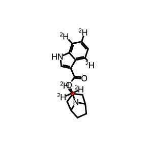 [2H]c1cc([2H])c2c(C(=O)OC3CC4CCC(C3)N4C([2H])([2H])[2H])c[nH]c2c1[2H]